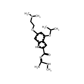 CNC(N)=NC(=O)c1cc2c(OC(C)C)cc(OCCN(C)C)cc2[nH]1